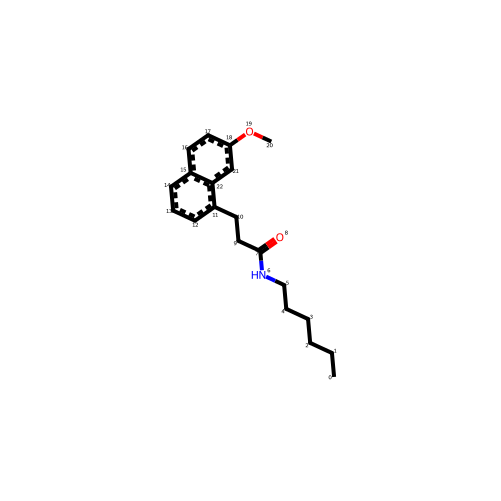 CCCCCCNC(=O)CCc1cccc2ccc(OC)cc12